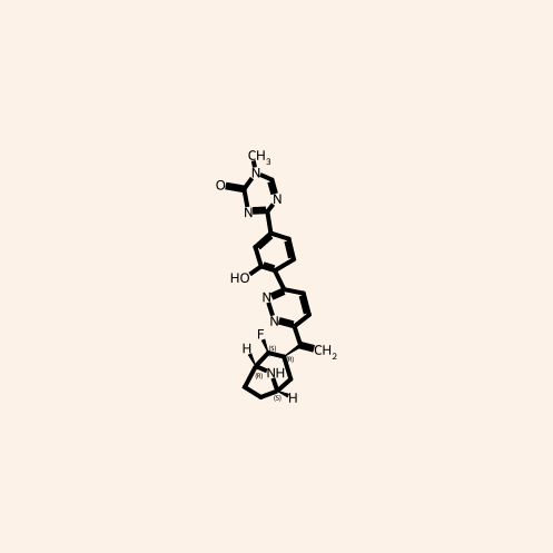 C=C(c1ccc(-c2ccc(-c3ncn(C)c(=O)n3)cc2O)nn1)[C@H]1C[C@@H]2CC[C@@H](N2)[C@H]1F